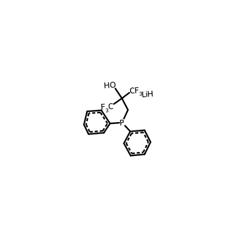 OC(CP(c1ccccc1)c1ccccc1)(C(F)(F)F)C(F)(F)F.[LiH]